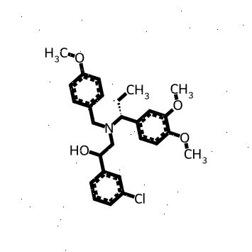 C[CH][C@H](c1ccc(OC)c(OC)c1)N(Cc1ccc(OC)cc1)CC(O)c1cccc(Cl)c1